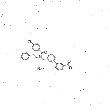 O=C([O-])c1cccc(-c2cccc(CN(CCc3ccccc3)C(=O)c3ccc(Cl)cc3)c2)c1.[Na+]